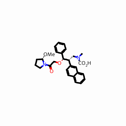 CO[C@H]1CCCN1C(=O)CO[C@H](c1ccccc1)[C@H](CN(C)C(=O)O)c1ccc2ccccc2c1